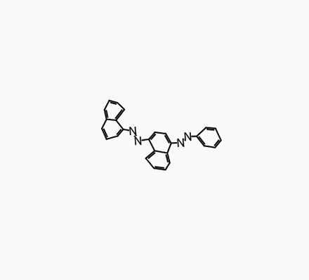 c1ccc(N=Nc2ccc(N=Nc3cccc4ccccc34)c3ccccc23)cc1